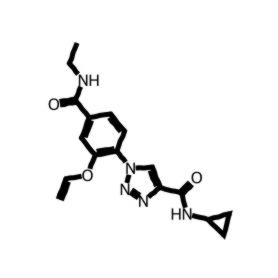 C=COc1cc(C(=O)NCC)ccc1-n1cc(C(=O)NC2CC2)nn1